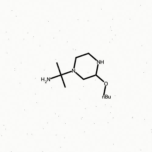 CCCCOC1CN(C(C)(C)N)CCN1